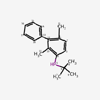 Cc1ccc(PC(C)(C)C)c(C)c1-c1ccccc1